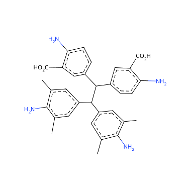 Cc1cc(C(c2cc(C)c(N)c(C)c2)C(c2ccc(N)c(C(=O)O)c2)c2ccc(N)c(C(=O)O)c2)cc(C)c1N